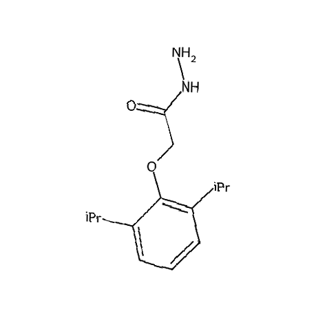 CC(C)c1cccc(C(C)C)c1OCC(=O)NN